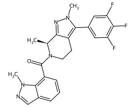 C[C@H]1c2nn(C)c(-c3cc(F)c(F)c(F)c3)c2CCN1C(=O)c1cccc2cnn(C)c12